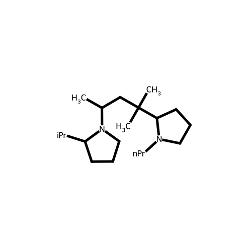 CCCN1CCCC1C(C)(C)CC(C)N1CCCC1C(C)C